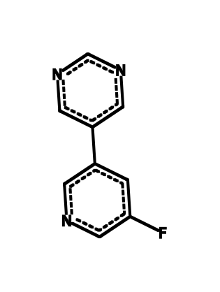 Fc1cncc(-c2cncnc2)c1